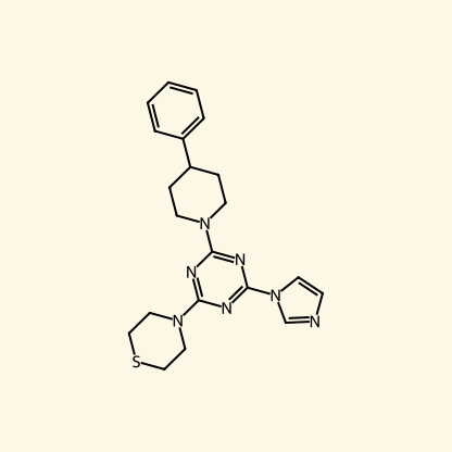 c1ccc(C2CCN(c3nc(N4CCSCC4)nc(-n4ccnc4)n3)CC2)cc1